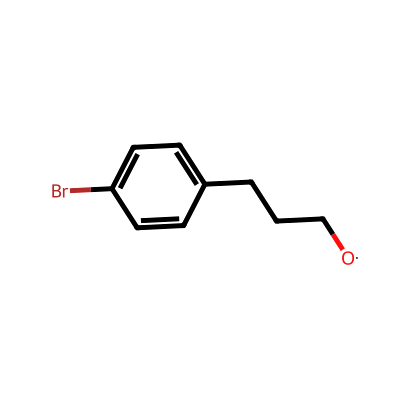 [O]CCCc1ccc(Br)cc1